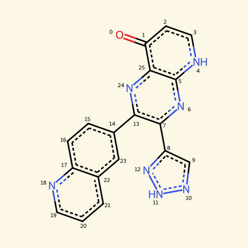 O=c1cc[nH]c2nc(-c3cn[nH]n3)c(-c3ccc4ncccc4c3)nc12